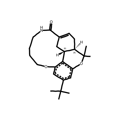 CC(C)(C)c1cc2c3c(c1)OC(C)(C)[C@@H]1CC=C(C[C@@H]31)C(=O)NCCCCO2